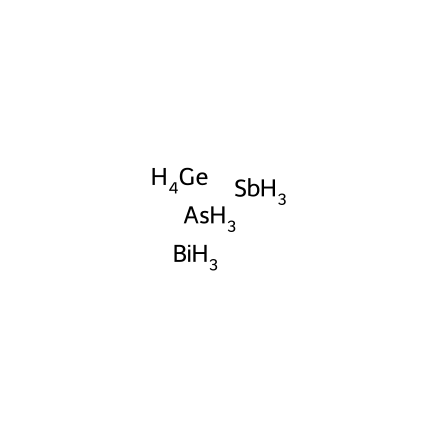 [AsH3].[BiH3].[GeH4].[SbH3]